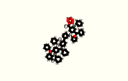 O=C(c1ccccc1)c1cc(N(c2ccccc2)c2cccc(-c3cccc4c3Oc3ccccc3N4c3cc(C(=O)c4ccccc4)c(N4c5ccccc5Oc5ccccc54)cc3C(=O)c3ccccc3)c2)c(C(=O)c2ccccc2)cc1N(c1ccccc1)c1ccccc1